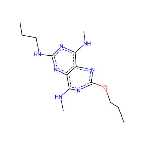 CCCNc1nc(NC)c2nc(OCCC)nc(NC)c2n1